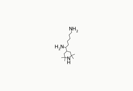 CC1(C)CC(C(N)CCCCCN)CC(C)(C)N1